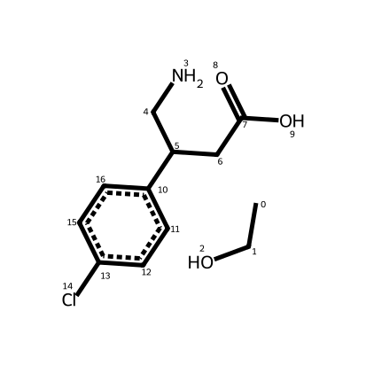 CCO.NCC(CC(=O)O)c1ccc(Cl)cc1